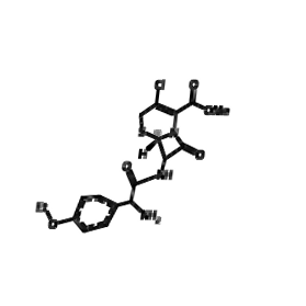 CCOc1ccc(C(N)C(=O)NC2C(=O)N3C(C(=O)OC)=C(Cl)CS[C@@H]23)cc1